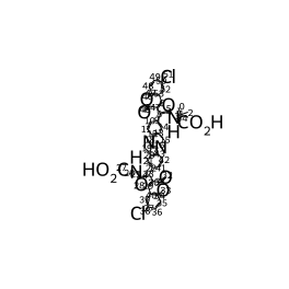 CC(C)(Nc1oc2c(c1-c1ccc3c(c1)CN1CN3Cc3cc(-c4c(NCC(=O)O)oc5c4c(=O)oc4ccc(Cl)cc45)ccc31)c(=O)oc1ccc(Cl)cc12)C(=O)O